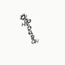 O=C(NCCOCCOCCOCCO)OCc1ccccc1